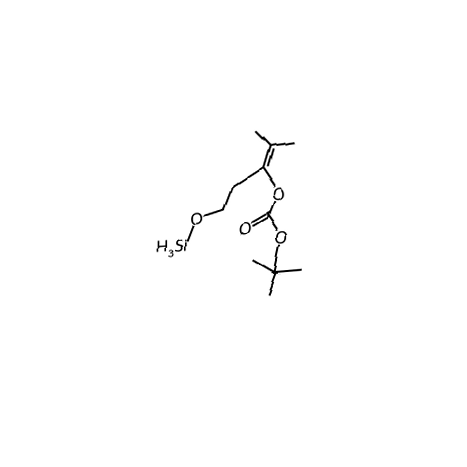 CC(C)=C(CCO[SiH3])OC(=O)OC(C)(C)C